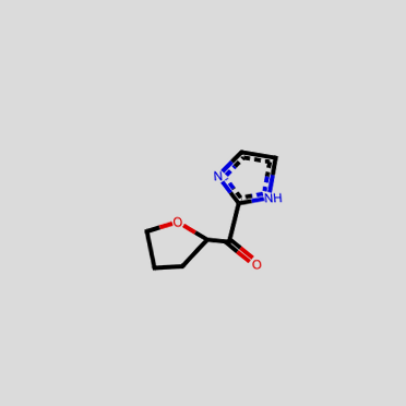 O=C(c1ncc[nH]1)C1CCCO1